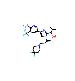 C=C(CCN1CCC(F)(F)CC1)n1cc(-c2cnc(N)c(C(F)(F)F)c2)nc1C(O)C(C)C